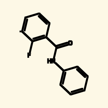 O=C(Nc1ccccc1)c1ccc[c]c1F